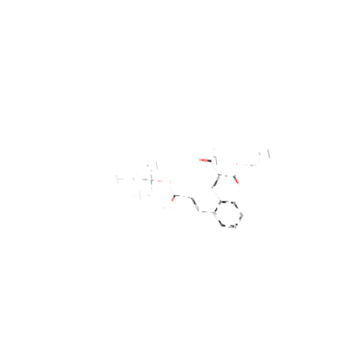 CCOC(=O)C(=Cc1ccccc1/C=C/C(=O)OC(C)(C)C)C(C)=O